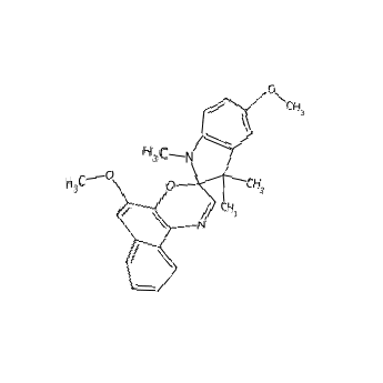 COc1ccc2c(c1)C(C)(C)C1(C=Nc3c(c(OC)cc4ccccc34)O1)N2C